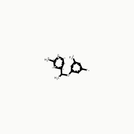 CC(Oc1cc(F)cc(C(F)(F)F)c1)c1ccnc(N)n1